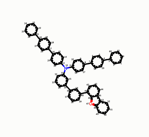 c1ccc(-c2ccc(-c3ccc(N(c4ccc(-c5ccc(-c6ccccc6)cc5)cc4)c4cccc(-c5cccc(-c6cccc7c6oc6ccccc67)c5)c4)cc3)cc2)cc1